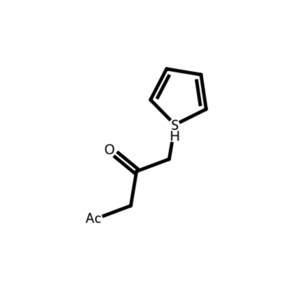 CC(=O)CC(=O)C[SH]1C=CC=C1